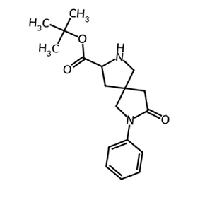 CC(C)(C)OC(=O)C1CC2(CN1)CC(=O)N(c1ccccc1)C2